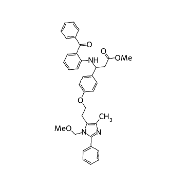 COCn1c(-c2ccccc2)nc(C)c1CCOc1ccc(C(CC(=O)OC)Nc2ccccc2C(=O)c2ccccc2)cc1